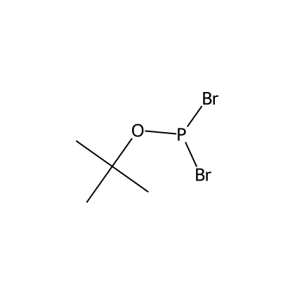 CC(C)(C)OP(Br)Br